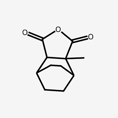 CC12C(=O)OC(=O)C1C1CCC2CC1